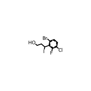 OCCC(I)c1c(Br)ccc(Cl)c1F